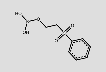 O=S(=O)(CCOB(O)O)c1ccccc1